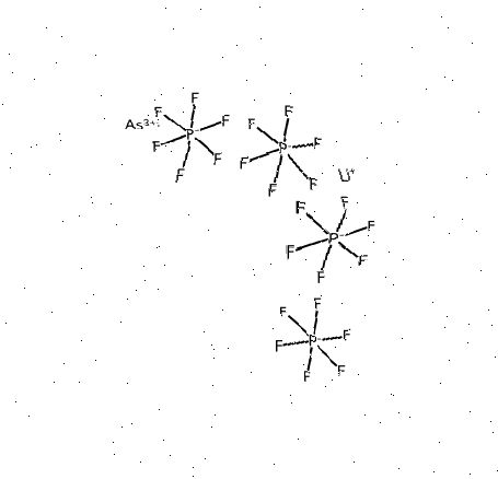 F[P-](F)(F)(F)(F)F.F[P-](F)(F)(F)(F)F.F[P-](F)(F)(F)(F)F.F[P-](F)(F)(F)(F)F.[As+3].[Li+]